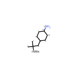 CNC(C)(C)CC1CCC(N)CC1